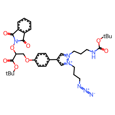 CC(C)(C)OC(=O)NCCCn1cc(-c2ccc(OCC(ON3C(=O)c4ccccc4C3=O)C(=O)OC(C)(C)C)cc2)c[n+]1CCCN=[N+]=[N-]